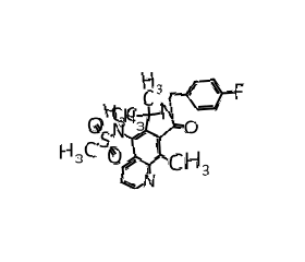 Cc1c2c(c(N(C)S(C)(=O)=O)c3cccnc13)C(C)(C)N(Cc1ccc(F)cc1)C2=O